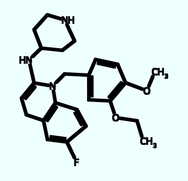 CCOc1cc(CN2C(NC3CCNCC3)=CCc3cc(F)ccc32)ccc1OC